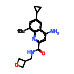 CC(C)(C)c1cc(C2CC2)cc2c(N)cc(C(=O)NCC3COC3)nc12